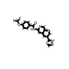 O=C(Nc1cc2cc(-c3nncs3)cnc2cn1)c1ccc(OC(F)F)cc1